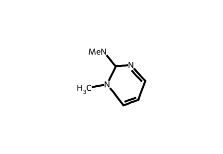 CNC1N=CC=CN1C